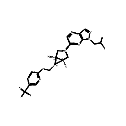 FC(F)Cn1ncc2ncc(N3C[C@@H]4[C@@H](COc5ccc(C(F)(F)F)cn5)[C@@H]4C3)nc21